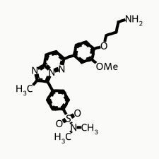 COc1cc(-c2ccc3nc(C)c(-c4ccc(S(=O)(=O)N(C)C)cc4)n3n2)ccc1OCCCN